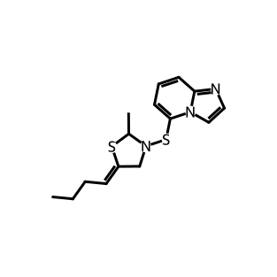 CCCC=C1CN(Sc2cccc3nccn23)C(C)S1